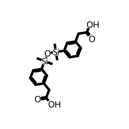 C[Si](C)(O[Si](C)(C)c1cccc(CC(=O)O)c1)c1cccc(CC(=O)O)c1